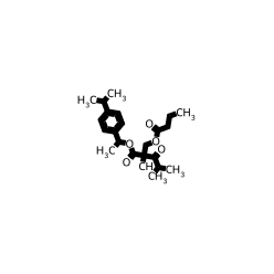 CCCC(=O)OCC(C)(C(=O)OC(C)c1ccc(C(C)C)cc1)C(=O)C(C)C